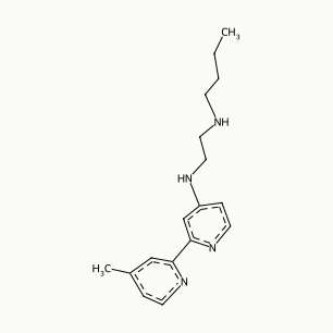 CCCCNCCNc1ccnc(-c2cc(C)ccn2)c1